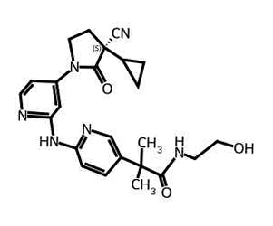 CC(C)(C(=O)NCCO)c1ccc(Nc2cc(N3CC[C@@](C#N)(C4CC4)C3=O)ccn2)nc1